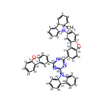 CC12C=CC=CC1c1ccccc1N2c1ccc2oc3ccc(-c4nc(-c5ccc6oc7ccccc7c6c5)nc(-n5c6ccccc6c6ccccc65)n4)cc3c2c1